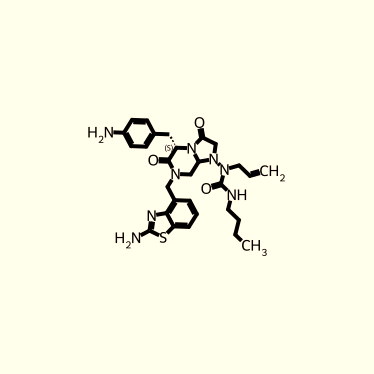 C=CCN(C(=O)NCCCC)N1CC(=O)N2C1CN(Cc1cccc3sc(N)nc13)C(=O)[C@@H]2Cc1ccc(N)cc1